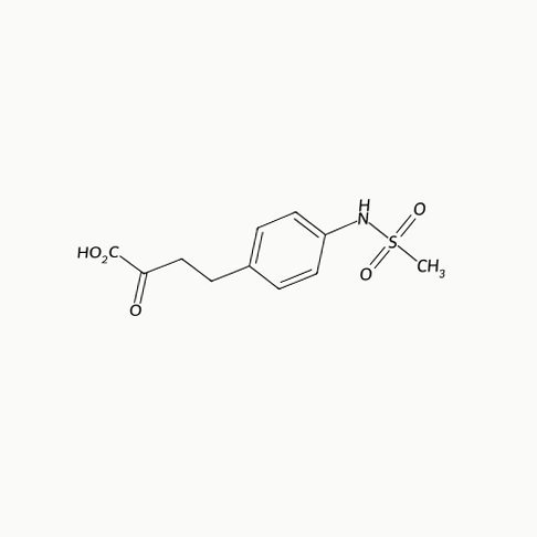 CS(=O)(=O)Nc1ccc(CCC(=O)C(=O)O)cc1